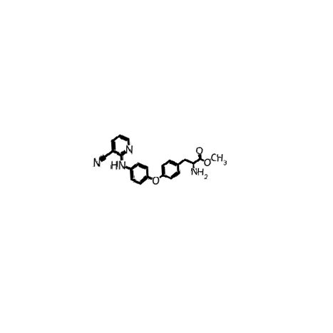 COC(=O)[C@@H](N)Cc1ccc(Oc2ccc(Nc3ncccc3C#N)cc2)cc1